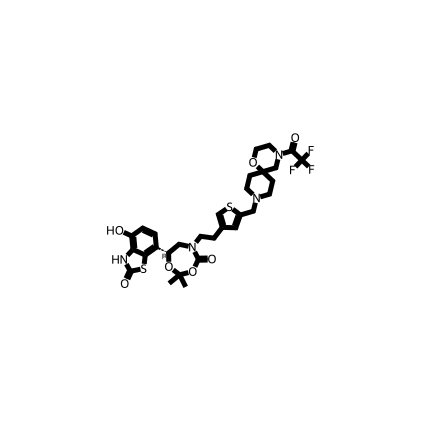 CC1(C)OC(=O)N(CCc2csc(CN3CCC4(CC3)CN(C(=O)C(F)(F)F)CCO4)c2)C[C@@H](c2ccc(O)c3[nH]c(=O)sc23)O1